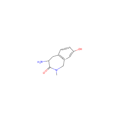 CN1Cc2cc(O)ccc2CC(N)C1=O